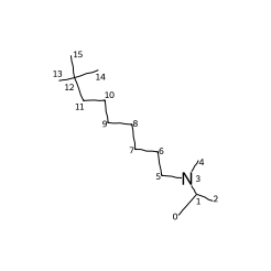 CC(C)N(C)CCCCCCCC(C)(C)C